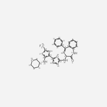 O=C1Nc2ccccc2C(c2ccccc2)=N[C@@H]1Nc1nnc(-c2nc(C(F)(F)F)sc2N[C@@H]2CCCOC2)o1